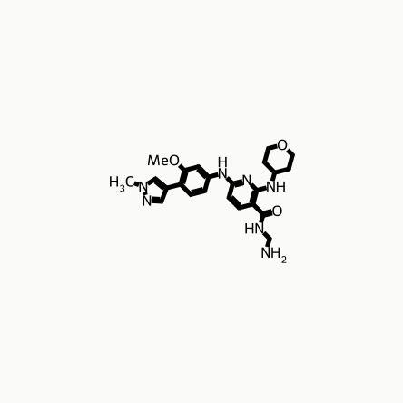 COc1cc(Nc2ccc(C(=O)NCN)c(NC3CCOCC3)n2)ccc1-c1cnn(C)c1